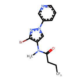 CN(C(=O)CCC(F)(F)F)c1cn(-c2cccnc2)nc1Br